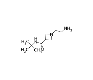 CC(C)(C)NC(=O)C1CN(CCN)C1